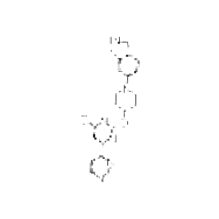 Cn1c(OC2CCN(c3ccc4c(c3)CNC4)CC2)nc(-c2ccncn2)cc1=O